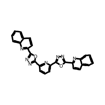 c1cc(-c2nnc(-c3ccc4ccccc4n3)o2)nc(-c2nnc(-c3ccc4ccccc4n3)o2)c1